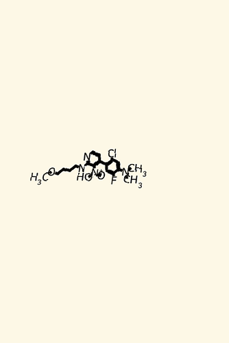 COCCCCNc1nccc(-c2cc(F)c(N(C)C)cc2Cl)c1[N+](=O)[O-]